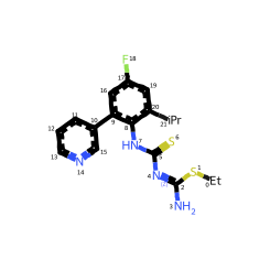 CCS/C(N)=N\C(=S)Nc1c(-c2cccnc2)cc(F)cc1C(C)C